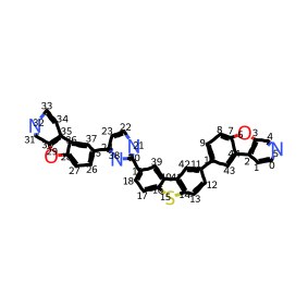 c1cc2c(cn1)oc1ccc(-c3ccc4sc5ccc(-c6nccc(-c7ccc8oc9cnccc9c8c7)n6)cc5c4c3)cc12